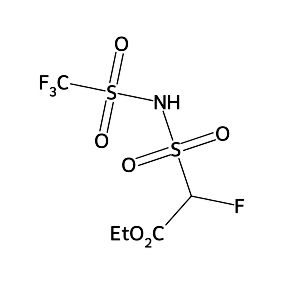 CCOC(=O)C(F)S(=O)(=O)NS(=O)(=O)C(F)(F)F